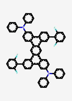 Fc1cccc(F)c1-c1ccc2c(c1)c1cc3c4ccc(N(c5ccccc5)c5ccccc5)cc4c4ccc(-c5c(F)cccc5F)cc4c3cc1c1ccc(N(c3ccccc3)c3ccccc3)cc21